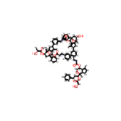 CC1=C2C(OC(=O)/C=C/c3ccc(C4CC5C(=C4C)C(OC(=O)/C=C/c4cccc(C6CC7C(=C6C)C(OC(=O)/C=C/c6ccccc6)C6(c8ccccc8)CC(OC(=O)C(C)O)C7(C)O6)c4)C4(c6ccccc6)CC(O)C5(C)O4)cc3)COC(C)(C(CCc3ccccc3)OC(=O)CO)C2CC1